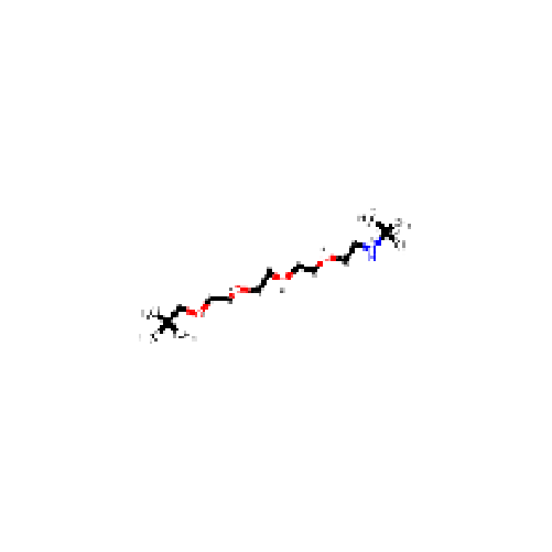 CC(C)(C)COCCOCCOCCOCCNC(C)(C)C